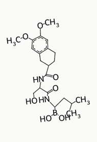 COc1cc2c(cc1OC)CC(C(=O)NC(CO)C(=O)NC(CC(C)C)B(O)O)CC2